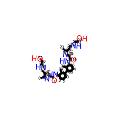 Cc1nc(C(=O)Nc2cccc(-c3cccc(NC(=O)c4nc(C)c(CNCCO)s4)c3C)c2C)sc1CNCCO